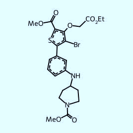 CCOC(=O)COc1c(C(=O)OC)sc(-c2cccc(NC3CCN(C(=O)OC)CC3)c2)c1Br